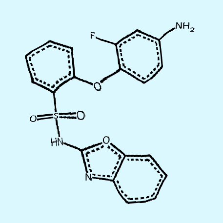 Nc1ccc(Oc2ccccc2S(=O)(=O)Nc2nc3ccccc3o2)c(F)c1